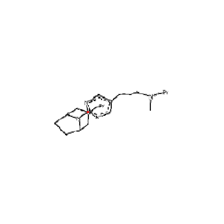 CC(C)N(C)CCCc1cnc(N2C3CCC2CN(C(C)C)C3)nc1